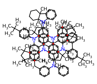 CC(C)(C)c1ccc(N2c3ccc(C(C)(C)Cc4cccc(N(c5ccccc5)c5cc6c7c(c5)N(c5ccc(C(C)(C)C)cc5-c5ccccc5)c5ccc(C(C)(C)C)cc5B7c5cc7c(cc5N6c5ccc6c(c5)C(C)(C)CC6(C)C)C(C)(C)CC7(C)C)c4)cc3B3c4cc5c(cc4N(c4ccc6c(c4)C(C)(C)CC6(C)C)c4cc(N6c7ccccc7C7(C)CCCCC67C)cc2c43)C(C)(C)CC5(C)C)cc1